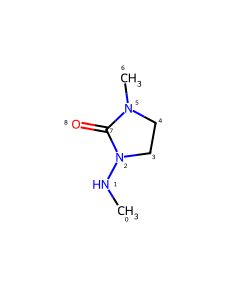 CNN1CCN(C)C1=O